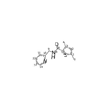 Cc1cc(C)c(C(=O)NCc2ccccn2)s1